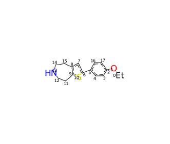 CCOc1ccc(-c2cc3c(s2)CCNCC3)cc1